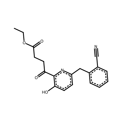 CCOC(=O)CCC(=O)c1nc(Cc2ccccc2C#N)ccc1O